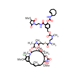 COc1cc2cc(c1Cl)N(C)C(=O)C[C@H](OC(=O)[C@H](C)N(C)C(=O)CCSC(=O)N(C)CCN(C)C(=O)OCc1ccc(OC(=O)NC3/C=C/CCCCC3)c(C(=O)NCCN3C(=O)CC(SC)C3=O)c1)[C@]1(C)O[C@H]1[C@H](C)[C@@H]1C[C@@](O)(NC(=O)O1)[C@H](OC)/C=C/C=C(\C)C2